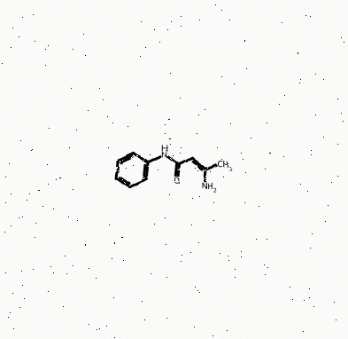 C/C(N)=C/C(=O)Nc1ccccc1